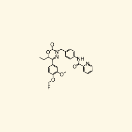 CCC1OC(=O)N(Cc2ccc(NC(=O)c3ccccn3)cc2)N=C1c1ccc(OCF)c(OC)c1